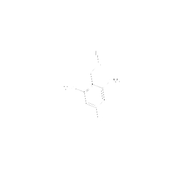 CCCCCCCCc1cc(SC)c(COCC)c(SC)c1